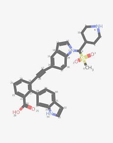 CS(=O)(=O)C(C1CCNCC1)n1ccc2cc(C#Cc3cccc(C(=O)O)c3-c3ccc4cc[nH]c4c3)ccc21